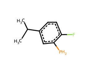 CC(C)c1ccc(F)c(P)c1